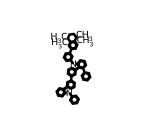 CC1(C)CCC(C)(C)c2cc(-c3cccc(-n4c5ccc(-c6ccc7c(c6)c6ccccc6n7-c6ccccc6)cc5c5c(-c6ccccc6)cccc54)c3)ccc21